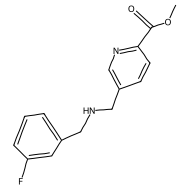 COC(=O)c1ccc(CNCc2cccc(F)c2)cn1